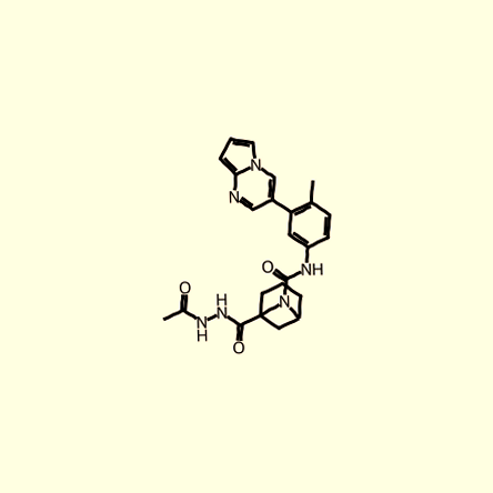 CC(=O)NNC(=O)C12CCCC(C1)N2C(=O)Nc1ccc(C)c(-c2cnc3cccn3c2)c1